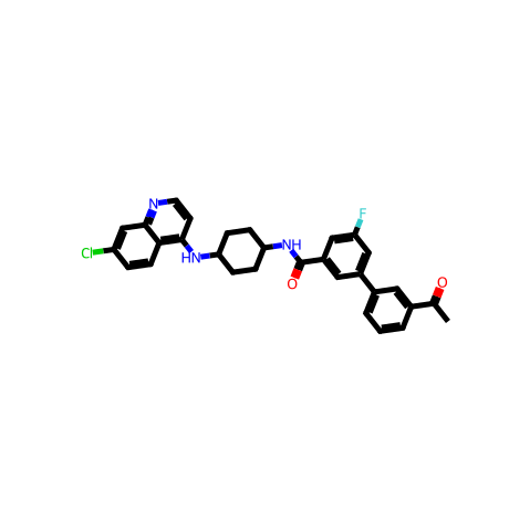 CC(=O)c1cccc(-c2cc(F)cc(C(=O)NC3CCC(Nc4ccnc5cc(Cl)ccc45)CC3)c2)c1